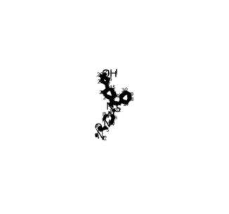 CN(C)C(=O)CN1CCN(c2nc(-c3ccc(C4CC(C)(O)C4)cc3)c(-c3ccccc3)s2)CC1